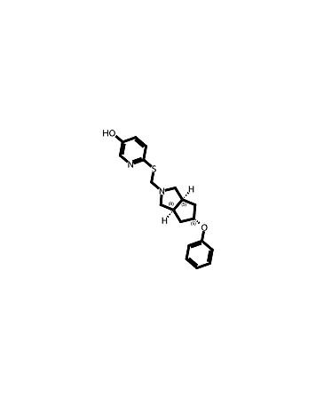 Oc1ccc(SCN2C[C@H]3C[C@H](Oc4ccccc4)C[C@H]3C2)nc1